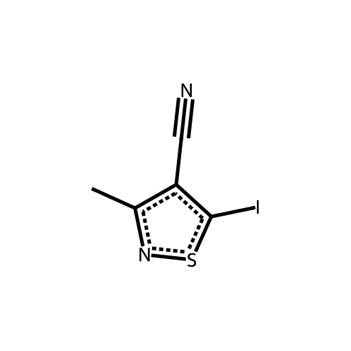 Cc1nsc(I)c1C#N